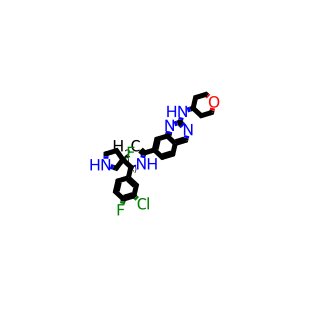 C=C(N[C@H](c1ccc(F)c(Cl)c1)[C@@]1(F)CCNC1)c1ccc2cnc(NC3CCOCC3)nc2c1